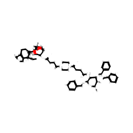 CC(C)[C@]12O[C@H]1[C@@H]1O[C@@]13[C@@]1(C)CCC4=C(COC4=O)[C@@H]1C1C[C@@]3(O1)[C@@H]2OC(=O)CCC(=O)N1CCN(C(=O)CCC(=O)N[C@@H]2C(OCc3ccccc3)O[C@@H](CO)[C@H](OCc3ccccc3)[C@H]2OCc2ccccc2)CC1